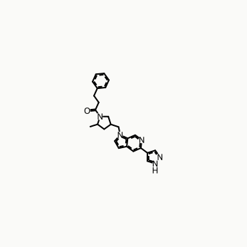 CC1CC(Cn2ccc3cc(-c4cn[nH]c4)ncc32)CN1C(=O)CCc1ccccc1